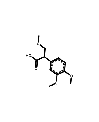 COCC(C(=O)O)c1ccc(OC)c(OC)c1